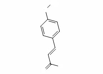 O=C(Cl)/C=C/c1ccc(OC(F)(F)F)cc1